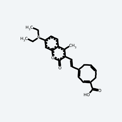 CCN(CC)c1ccc2c(C)c(/C=C/C3=C/C=C(/C(=O)O)CC=CC3)c(=O)oc2c1